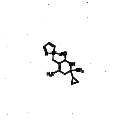 CCC[N+]1(CC2=C(C)CC(C)(C3CC3)NC2=O)C=CC=N1